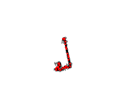 CC[C@@]1(O)C(=O)OCc2c1cc1n(c2=O)Cc2c-1nc1cc(F)c(C)c3c1c2[C@@H](NC(=O)C(C)(C)NC(=O)OCc1ccc(NC(=O)[C@H](C)NC(=O)[C@H](C)NC(=O)CCOCCOCCOCCOCCOCCOCCOCCOCCNC(=O)CCN2C(=O)C=CC2=O)cc1)CC3